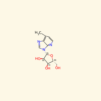 Cc1ccnc2c1ncn2[C@@H]1O[C@H](CO)[C@@H](O)[C@H]1O